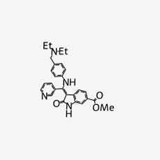 CCN(CC)Cc1ccc(NC(=C2C(=O)Nc3cc(C(=O)OC)ccc32)c2cccnc2)cc1